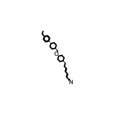 CCc1ccc([C@H]2CC[C@H](CO[C@H]3CC[C@H](CC/C=C/C=C/C#N)CC3)CC2)cc1